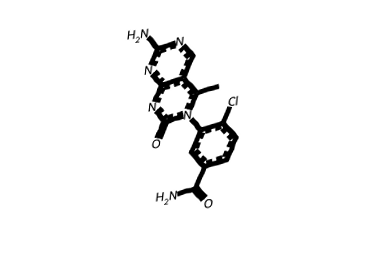 Cc1c2cnc(N)nc2nc(=O)n1-c1cc(C(N)=O)ccc1Cl